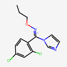 CCCO/N=C(\c1ccc(Cl)cc1Cl)n1ccnc1